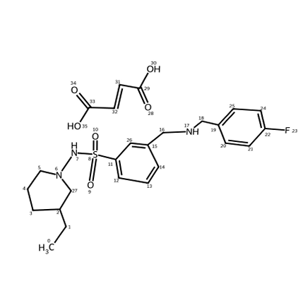 CCC1CCCN(NS(=O)(=O)c2cccc(CNCc3ccc(F)cc3)c2)C1.O=C(O)C=CC(=O)O